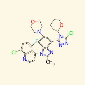 Cc1nc2c(-c3nnc(Cl)n3C3CCCCO3)cc(N3CCOCC3)cc2n1-c1ccnc2c(Cl)ccc(F)c12